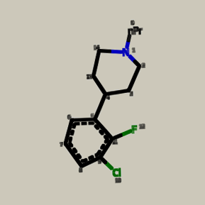 CCCN1CCC(c2cccc(Cl)c2F)CC1